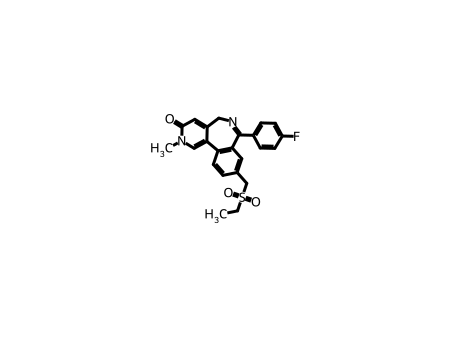 CCS(=O)(=O)Cc1ccc2c(c1)C(c1ccc(F)cc1)=NCc1cc(=O)n(C)cc1-2